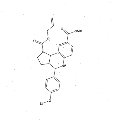 C=CCOC(=O)N1CCC2C(c3ccc(OCC)cc3)Nc3ccc(C(=O)NC)cc3C21